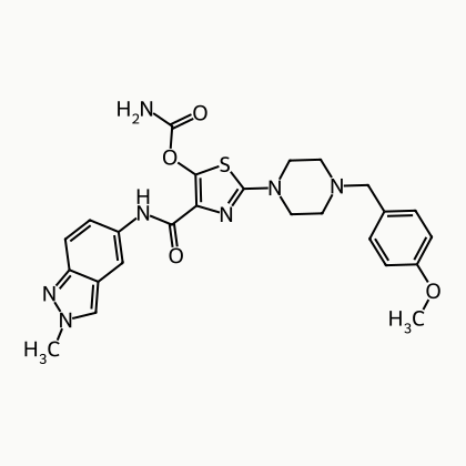 COc1ccc(CN2CCN(c3nc(C(=O)Nc4ccc5nn(C)cc5c4)c(OC(N)=O)s3)CC2)cc1